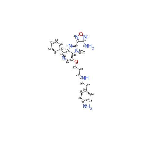 CCn1c(-c2nonc2N)nc2c(-c3ccccc3)ncc(OCCCNCCc3ccc(N)cc3)c21